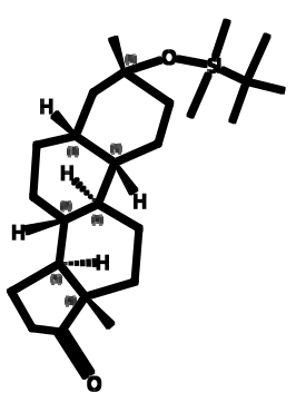 CC(C)(C)[Si](C)(C)O[C@]1(C)CC[C@H]2[C@H](CC[C@@H]3[C@@H]2CC[C@]2(C)C(=O)CC[C@@H]32)C1